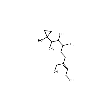 CC(CCC(=CCO)CO)C(O)C(C)C1(O)CC1